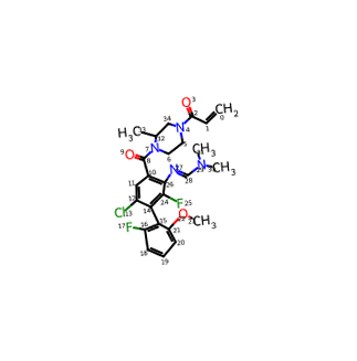 C=CC(=O)N1CCN(C(=O)c2cc(Cl)c(-c3c(F)cccc3OC)c(F)c2/N=C/N(C)C)C(C)C1